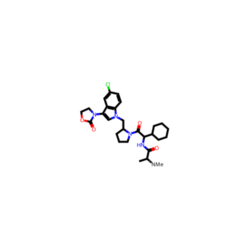 CNC(C)C(=O)NC(C(=O)N1CCCC1Cn1cc(N2CCOC2=O)c2cc(Cl)ccc21)C1CCCCC1